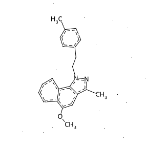 COc1cc2c(C)nn(CCc3ccc(C)cc3)c2c2ccccc12